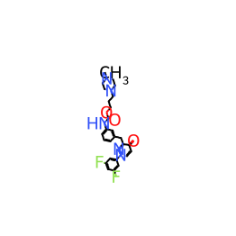 CN1CCN(CCCOC(=O)Nc2cccc(Cc3nn(-c4cc(F)cc(F)c4)ccc3=O)c2)CC1